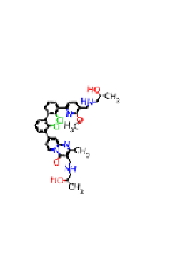 COc1nc(-c2cccc(-c3cccc(-c4ccn5c(=O)c(CNC[C@H](C)O)c(C)nc5c4)c3Cl)c2Cl)ccc1CNC[C@@H](C)O